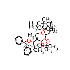 C=CC(O[Si](C)(C)C(C)(C)C)C1OC(C)(C)OC1C(=C)C(O[SiH](c1ccccc1)c1ccccc1)C(C)(C)C